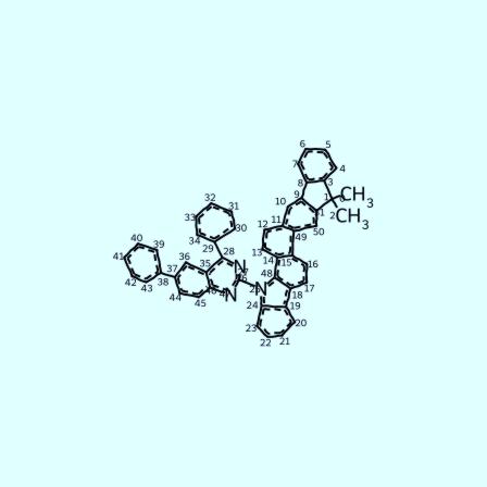 CC1(C)c2ccccc2-c2cc3ccc4c(ccc5c6ccccc6n(-c6nc(-c7ccccc7)c7cc(-c8ccccc8)ccc7n6)c45)c3cc21